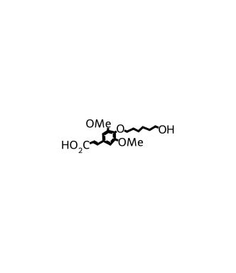 COc1cc(/C=C/C(=O)O)cc(OC)c1OCCCCCCO